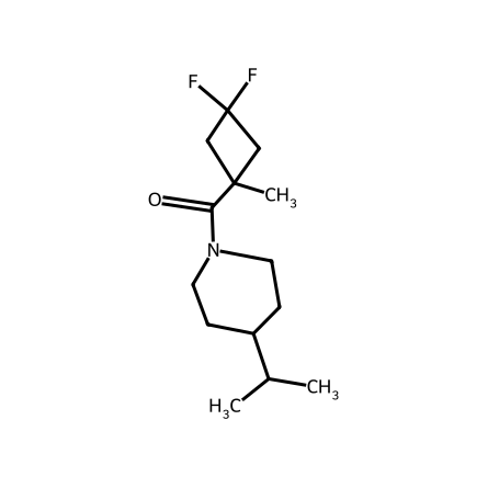 CC(C)C1CCN(C(=O)C2(C)CC(F)(F)C2)CC1